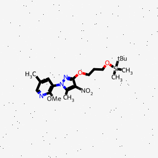 COc1ncc(C)cc1-n1nc(OCCCO[Si](C)(C)C(C)(C)C)c([N+](=O)[O-])c1C